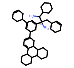 NC(C1CCCCC1)[C@](N)(CC1C=CCCC1)C1=CC(C2CC=CCC2)=CC(C2=CC=C3C4CCCCC4C4CCCCC4C3C2)C1